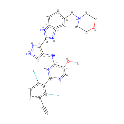 C#Cc1ccc(F)c(-c2ncc(OC)c(Nc3c[nH]nc3-c3nc4cc(CN5CCOCC5)ccc4[nH]3)n2)c1F